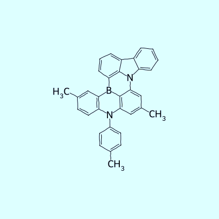 Cc1ccc(N2c3ccc(C)cc3B3c4c2cc(C)cc4-n2c4ccccc4c4cccc3c42)cc1